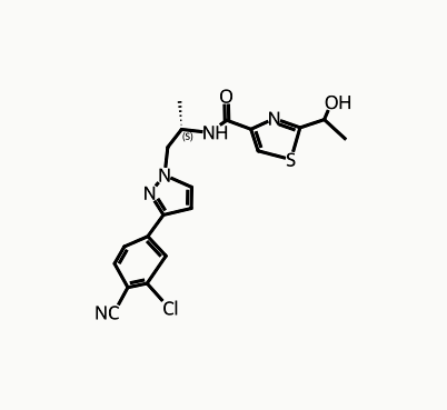 CC(O)c1nc(C(=O)N[C@@H](C)Cn2ccc(-c3ccc(C#N)c(Cl)c3)n2)cs1